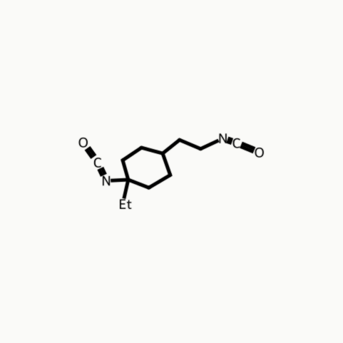 CCC1(N=C=O)CCC(CCN=C=O)CC1